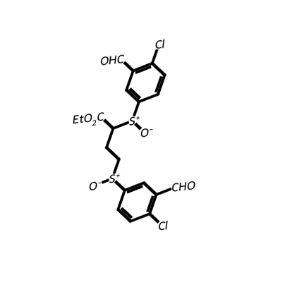 CCOC(=O)C(CC[S+]([O-])c1ccc(Cl)c(C=O)c1)[S+]([O-])c1ccc(Cl)c(C=O)c1